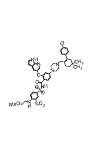 COCCNc1ccc(S(=O)(=O)NC(=O)c2ccc(N3CCN(CC4=C(c5ccc(Cl)cc5)CC(C)(C)CC4)CC3)cc2Oc2cnc3[nH]ccc3c2)cc1[N+](=O)[O-]